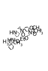 CCOCCN1C(=O)C(C)(C)Oc2ccc(N(C(=O)[C@H]3CNC[C@@H](C(=O)NC(C)(C)c4ccccc4)C3)C3CC3)cc21